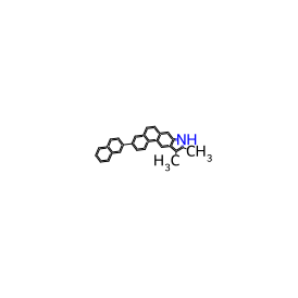 Cc1[nH]c2cc3ccc4cc(-c5ccc6ccccc6c5)ccc4c3cc2c1C